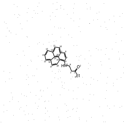 CCC(=O)CCNc1ccc2ccc3cccc4ccc1c2c34